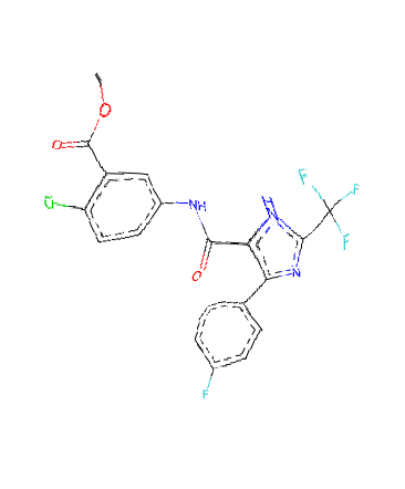 COC(=O)c1cc(NC(=O)c2[nH]c(C(F)(F)F)nc2-c2ccc(F)cc2)ccc1Cl